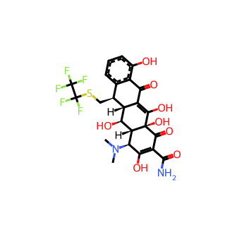 CN(C)[C@@H]1C(O)=C(C(N)=O)C(=O)[C@@]2(O)C(O)=C3C(=O)c4c(O)cccc4[C@H](CSC(F)(F)C(F)(F)F)[C@H]3[C@H](O)[C@@H]12